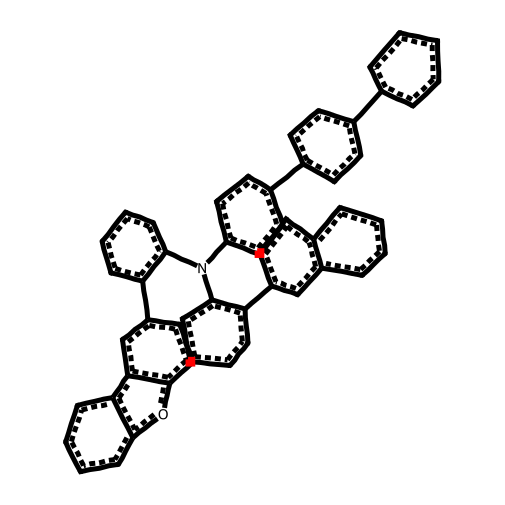 c1ccc(-c2ccc(-c3ccc(N(c4ccccc4-c4ccc5ccccc5c4)c4ccccc4-c4ccc5oc6ccccc6c5c4)cc3)cc2)cc1